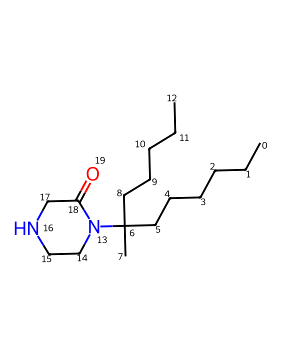 CCCCCCC(C)(CCCCC)N1CCNCC1=O